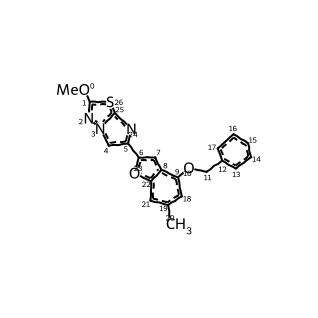 COc1nn2cc(-c3cc4c(OCc5ccccc5)cc(C)cc4o3)nc2s1